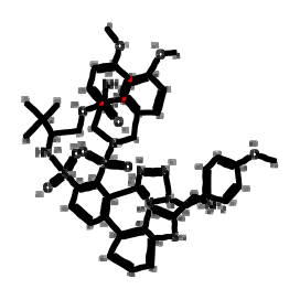 COc1ccc(CN(Cc2ccc(OC)cc2)S(=O)(=O)c2c(S(=O)(=O)NC(COC(N)=O)C(C)(C)C)ccc(-c3cccc4sc(CN)nc34)c2-c2nnn(Cc3ccc(OC)cc3)n2)cc1